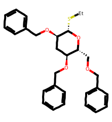 CCS[C@@H]1O[C@H](COCc2ccccc2)[C@@H](OCc2ccccc2)C[C@H]1OCc1ccccc1